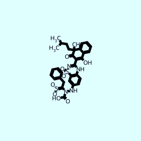 CC(C)CCC1(C)C(=O)C(C2=NS(=O)(=O)c3cc(NN(C(=O)O)C(Cc4ccccc4)=S(=O)=O)ccc3N2)=C(O)c2ccccc21